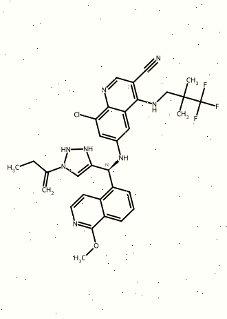 C=C(CC)N1C=C([C@@H](Nc2cc(Cl)c3ncc(C#N)c(NCC(C)(C)C(F)(F)F)c3c2)c2cccc3c(OC)nccc23)NN1